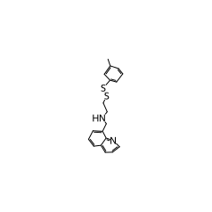 Cc1cccc(SSCCNCc2cccc3cccnc23)c1